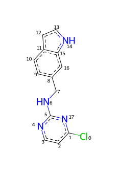 Clc1ccnc(NCc2ccc3cc[nH]c3c2)n1